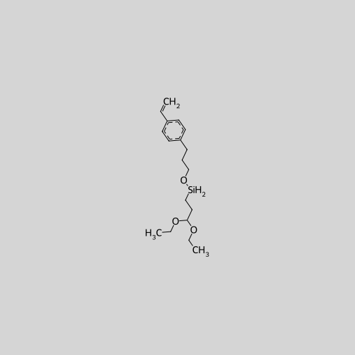 C=Cc1ccc(CCCO[SiH2]CCC(OCC)OCC)cc1